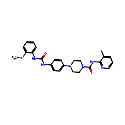 Cc1cccnc1NC(=O)N1CCN(c2ccc(NC(=O)Nc3ccccc3OC(F)(F)F)cc2)CC1